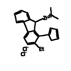 CCc1ccc2c(c1C1=CC=CC1)[CH]([Zr+2]=[C](C)C)c1ccccc1-2.[Cl-].[Cl-]